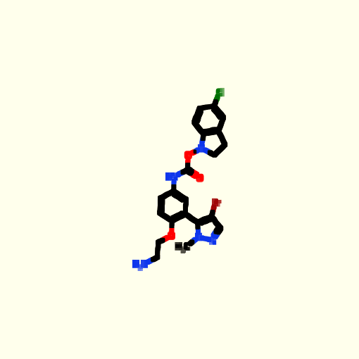 Cn1ncc(Br)c1-c1cc(NC(=O)ON2CCc3cc(Cl)ccc32)ccc1OCCN